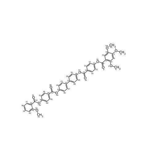 COc1cc(OC)c(C(=O)Oc2ccc(C(=O)Oc3ccc(-c4ccc(OC(=O)c5ccc(OC(=O)c6ccccc6OC)cc5)cc4)cc3)cc2)cc1OC